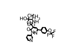 C[C@@H](NC(=O)c1cc(-c2ccc(OC(F)(F)F)cc2)nn(-c2cccnc2)c1=O)C(C)(C)O